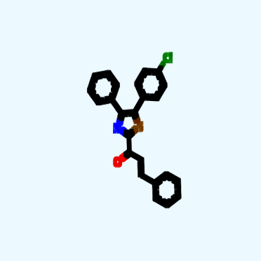 O=C(C=Cc1ccccc1)c1nc(-c2ccccc2)c(-c2ccc(Cl)cc2)s1